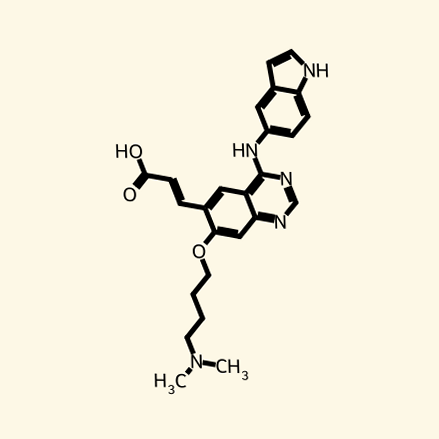 CN(C)CCCCOc1cc2ncnc(Nc3ccc4[nH]ccc4c3)c2cc1C=CC(=O)O